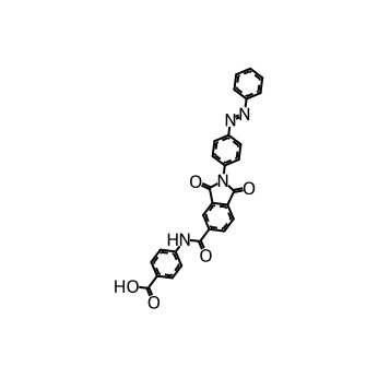 O=C(O)c1ccc(NC(=O)c2ccc3c(c2)C(=O)N(c2ccc(/N=N/c4ccccc4)cc2)C3=O)cc1